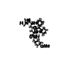 COc1ccc(CNC(=O)C(CCCC(N)C(=N)N)NC(=O)C(c2ccccc2)c2ccccc2)cc1